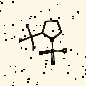 O=S(=O)(Cl)N1CCCC1C(F)(F)F